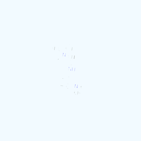 C[N+](C)(C)Cc1ccc(C[N+](C)(C)C)[nH]1